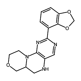 c1cc2c(c(-c3ncc4c(n3)N3CCOCC3CN4)c1)OCO2